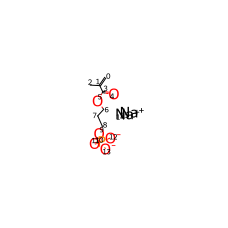 C=C(C)C(=O)OCCCOP(=O)([O-])[O-].[Na+].[Na+]